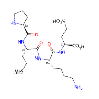 CSCC[C@H](NC(=O)[C@@H]1CCCN1)C(=O)N[C@@H](CCCCN)C(=O)N[C@@H](CCC(=O)O)C(=O)O